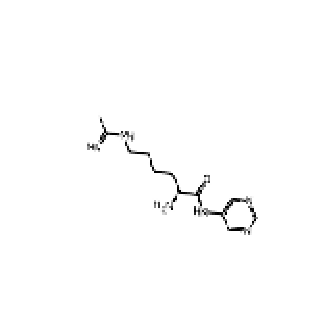 CC(=N)NCCCC[C@H](N)C(=O)Nc1cncnc1